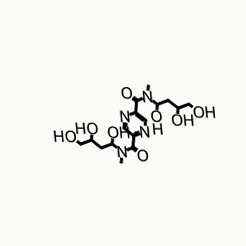 CN(C(=O)c1cnc(C(=O)N(C)C(O)CC(O)CO)cn1)C(O)CC(O)CO